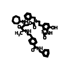 C[C@H](NCCc1ccc(C(=O)NCc2ccccc2)cc1)C(=O)C(COC(=O)N(CCc1ccc(O)c2[nH]c(=O)sc12)Cc1ccccc1)NC1CCCCCC1